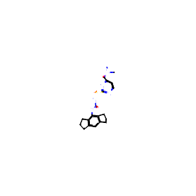 CN(C)C(=O)c1ccnc(S(=O)(=O)NC(=O)Nc2c3c(cc4c2CCC4)CCC3)n1